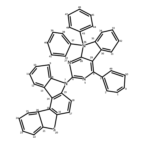 c1ccc(-c2nc(-n3c4ccccc4c4c5c(ccc43)sc3ccccc35)nc3c2-c2ccccc2[Si]3(c2ccccc2)c2ccccc2)cc1